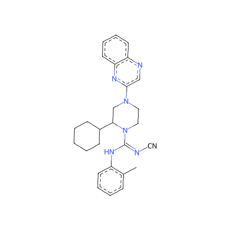 Cc1ccccc1N/C(=N/C#N)N1CCN(c2cnc3ccccc3n2)CC1C1CCCCC1